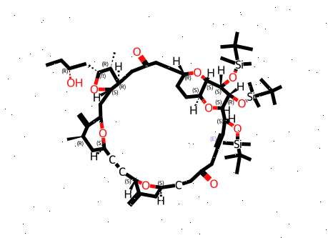 C=C1C2C[C@@H]3O[C@H](C[C@H](O)CC)[C@H](C)[C@H]3CC(=O)C[C@H]3CC[C@@H]4O[C@H]([C@@H](O[Si](C)(C)C(C)(C)C)[C@@H](O[Si](C)(C)C(C)(C)C)[C@H]4O3)[C@@H](O[Si](C)(C)C(C)(C)C)/C=C/CC(=O)CC[C@H]3CC(=C)[C@H](CC[C@@H](C[C@H]1C)O2)O3